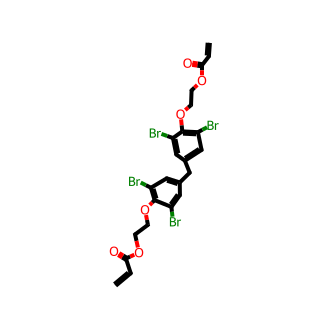 C=CC(=O)OCCOc1c(Br)cc(Cc2cc(Br)c(OCCOC(=O)C=C)c(Br)c2)cc1Br